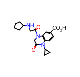 O=C(O)c1ccc2c(c1)N(C(=O)CNC1CCCC1)CC(=O)N2C1CC1